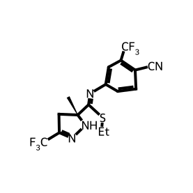 CCS/C(=N\c1ccc(C#N)c(C(F)(F)F)c1)[C@@]1(C)CC(C(F)(F)F)=NN1